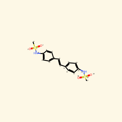 CS(=O)(=O)Nc1ccc(/C=C/c2ccc(NS(C)(=O)=O)cc2)cc1